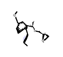 C/C=C/c1ccc(OC)cc1[C@@H](C)OC[C@H]1CO1